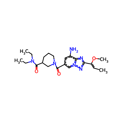 C/C=C(\OC)c1nc2c(N)cc(C(=O)N3CCCC(C(=O)N(CC)CC)C3)cn2n1